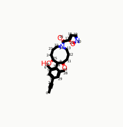 CC#Cc1cc(C)c(C2C(=O)CCCN(C(=O)c3ccno3)CCCC2O)c(C)c1